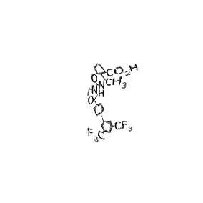 CC(NC(=O)N1CCOC(c2ccc(-c3cc(C(F)(F)F)cc(C(F)(F)F)c3)cc2)C1)c1ccccc1C(=O)O